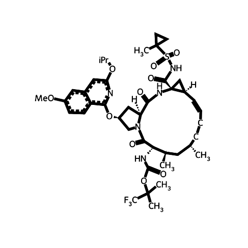 COc1ccc2c(O[C@@H]3C[C@H]4C(=O)N[C@]5(C(=O)NS(=O)(=O)C6(C)CC6)C[C@H]5C=CCC[C@H](C)C[C@@H](C)[C@H](NC(=O)OC(C)(C)C(F)(F)F)C(=O)N4C3)nc(OC(C)C)cc2c1